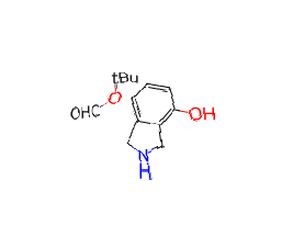 CC(C)(C)OC=O.Oc1cccc2c1CNC2